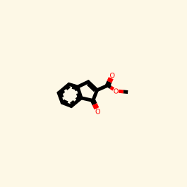 COC(=O)C1=Cc2ccccc2C1=O